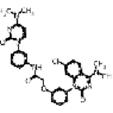 CN(C)c1ccn(-c2cccc(NC(=O)COc3cccc(-n4c(=O)nc(N(C)C)c5ccc(Cl)cc54)c3)c2)c(=O)n1